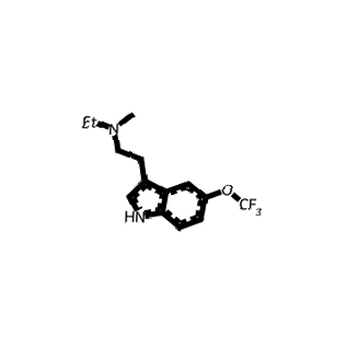 CCN(C)CCc1c[nH]c2ccc(OC(F)(F)F)cc12